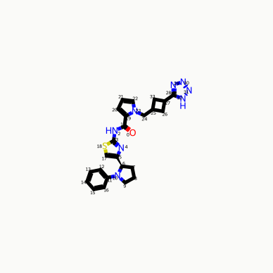 O=C(Nc1nc([C@H]2CCCN2c2ccccc2)cs1)c1cccn1CC1CC(c2nnn[nH]2)C1